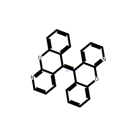 c1ccc2c(c1)Oc1ncccc1/C2=C1\c2ccccc2Oc2ncccc21